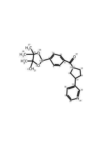 CC1(C)OB(c2ccc(C(=O)N3CCC(c4cccnc4)C3)cc2)OC1(C)C